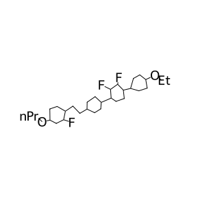 CCCOC1CCC(CCC2CCC(C3CCC(C4CCC(OCC)CC4)C(F)C3F)CC2)C(F)C1